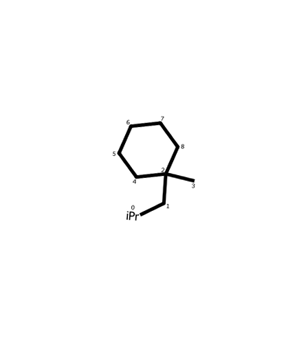 CC(C)CC1(C)CCCCC1